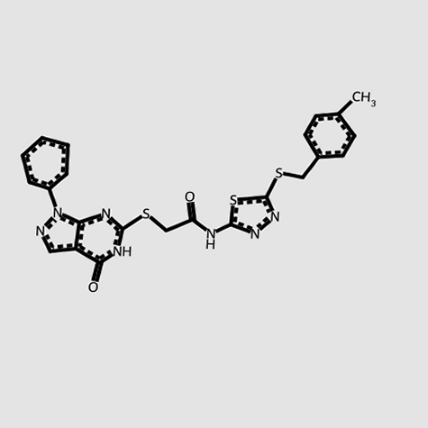 Cc1ccc(CSc2nnc(NC(=O)CSc3nc4c(cnn4-c4ccccc4)c(=O)[nH]3)s2)cc1